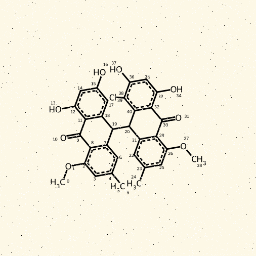 COc1cc(C)cc2c1C(=O)c1c(O)cc(O)cc1C2C1c2cc(C)cc(OC)c2C(=O)c2c(O)cc(O)c(Cl)c21